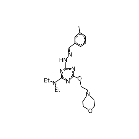 CCN(CC)c1nc(NN=Cc2cccc(C)c2)nc(OCCN2CCOCC2)n1